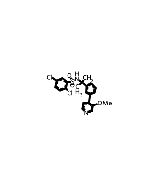 COc1cnccc1-c1cccc(C(C)(C)NS(=O)(=O)c2cc(Cl)ccc2Cl)c1